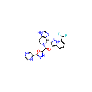 O=C(c1nnc(-c2cnccn2)o1)N1CCc2[nH]cnc2[C@@H]1c1cc2cccc(C(F)F)n2n1